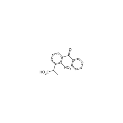 CC(C(=O)O)c1cccc(C(=O)c2ccccc2)c1[N+](=O)[O-]